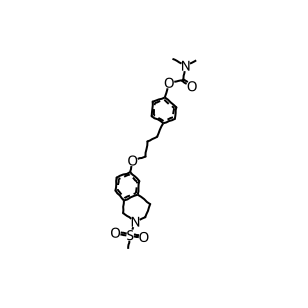 CN(C)C(=O)Oc1ccc(CCCOc2ccc3c(c2)CCN(S(C)(=O)=O)C3)cc1